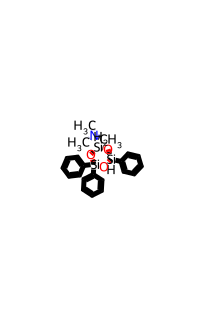 CN(C)C.c1ccc([SiH]2O[SiH2]O[Si](c3ccccc3)(c3ccccc3)O2)cc1